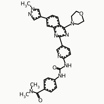 CN(C)C(=O)c1ccc(NC(=O)Nc2ccc(-c3nc(N4CCOCC4)c4ccc(-c5cnn(C)c5)cc4n3)cn2)cc1